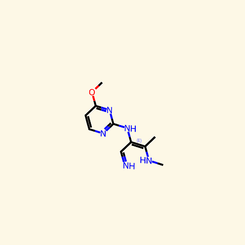 CN/C(C)=C(\C=N)Nc1nccc(OC)n1